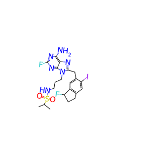 CC(C)S(=O)(=O)NCCCn1c(Cc2cc3c(cc2I)CCC3F)nc2c(N)nc(F)nc21